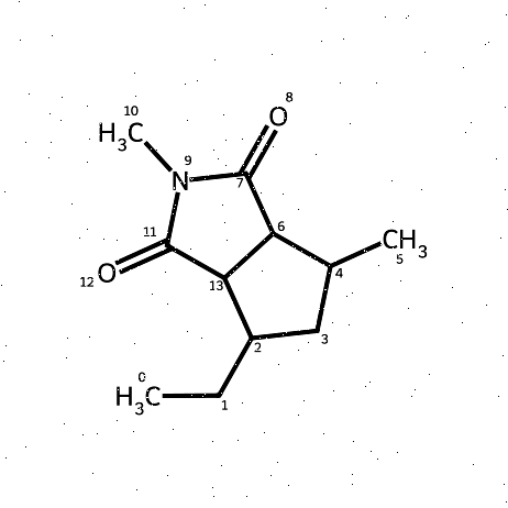 CCC1CC(C)C2C(=O)N(C)C(=O)C12